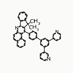 CC1(C)c2ccccc2-c2nc3ccc4ccccc4c3c(-c3ccc(-c4cc(-c5cccnc5)cc(-c5cccnc5)c4)cc3)c21